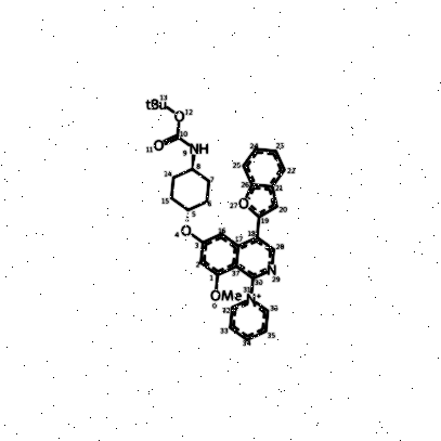 COc1cc(O[C@H]2CC[C@H](NC(=O)OC(C)(C)C)CC2)cc2c(-c3cc4ccccc4o3)cnc(-[n+]3ccccc3)c12